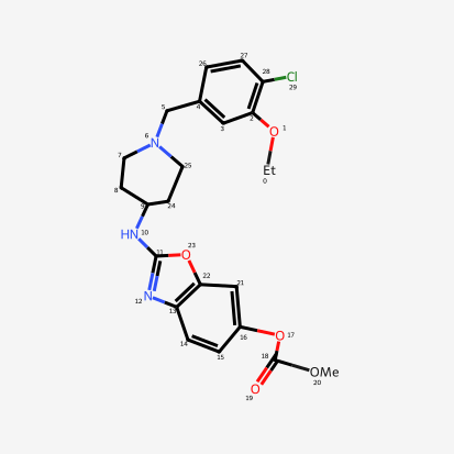 CCOc1cc(CN2CCC(Nc3nc4ccc(OC(=O)OC)cc4o3)CC2)ccc1Cl